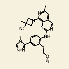 CCOCCc1cc(-c2nncn2C)ccc1Nc1ncc2cc(C)nc(N3CC(C)(C#N)C3)c2n1